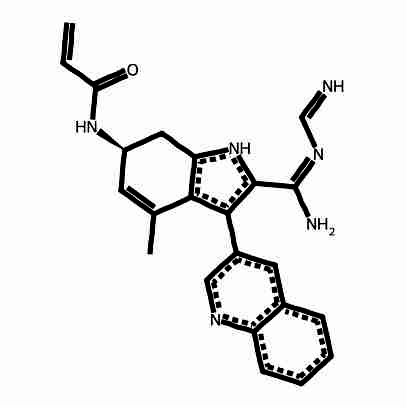 C=CC(=O)N[C@@H]1C=C(C)c2c([nH]c(/C(N)=N\C=N)c2-c2cnc3ccccc3c2)C1